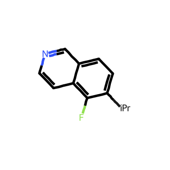 CC(C)c1ccc2cnccc2c1F